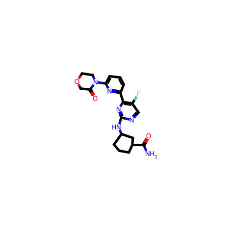 NC(=O)C1CCCC(Nc2ncc(F)c(-c3cccc(N4CCOCC4=O)n3)n2)C1